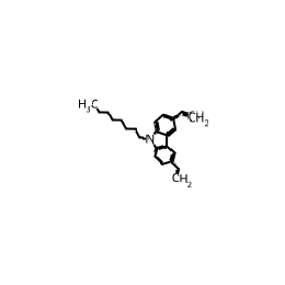 C=Cc1ccc2c(c1)c1cc(C=C)ccc1n2CCCCCCCC